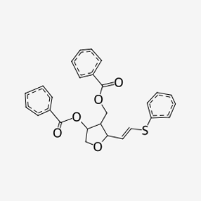 O=C(OCC1C(C=CSc2ccccc2)OCC1OC(=O)c1ccccc1)c1ccccc1